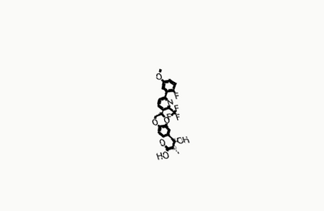 COc1ccc(F)c(-c2ccc([C@@H]3COc4ccc([C@H](O)[C@H](C)C(=O)O)cc4O3)c(C(F)(F)F)n2)c1